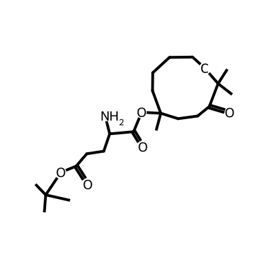 CC(C)(C)OC(=O)CCC(N)C(=O)OC1(C)CCCCCC(C)(C)C(=O)CC1